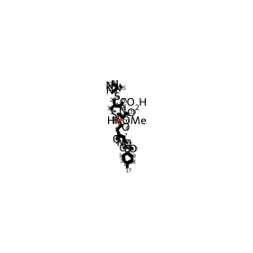 CO[C@@]1(NC(=O)Cc2cc(OS(=O)(=O)c3ccc(C)cc3)no2)C(=O)N2C(C(=O)O)=C(CSc3nnnn3C)CS[C@@H]21